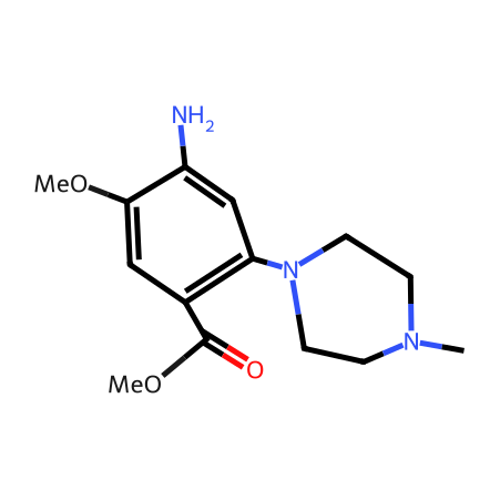 COC(=O)c1cc(OC)c(N)cc1N1CCN(C)CC1